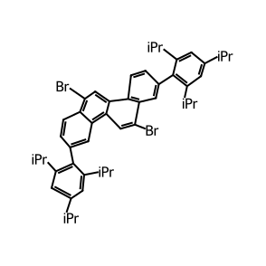 CC(C)c1cc(C(C)C)c(-c2ccc3c(c2)c(Br)cc2c4cc(-c5c(C(C)C)cc(C(C)C)cc5C(C)C)ccc4c(Br)cc32)c(C(C)C)c1